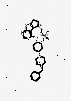 CS(=O)(=O)OC[C@H]1CCc2sc3ncnc(O[C@H]4CC[C@H](N5CCN(Cc6ccccc6)CC5)CC4)c3c21